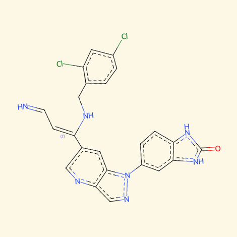 N=C/C=C(\NCc1ccc(Cl)cc1Cl)c1cnc2cnn(-c3ccc4[nH]c(=O)[nH]c4c3)c2c1